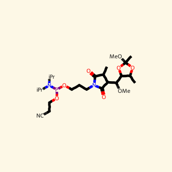 COC(C1OC(C)(OC)OC1C)C1C(=O)N(CCCOP(OCCC#N)N(C(C)C)C(C)C)C(=O)C1C